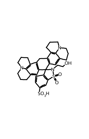 O=S(=O)(O)c1ccc2c(c1)S(=O)(=O)N(CCO)C21c2cc3c4c(c2Cc2c1cc1c5c2CCCN5CCC1)CCCN4CCC3